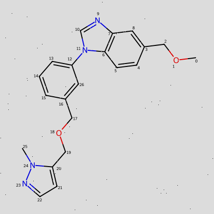 COCc1ccc2c(c1)ncn2-c1cccc(COCc2ccnn2C)c1